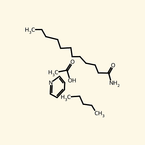 CC(=O)O.CCCCC.CCCCCCCCCCCC(N)=O.c1ccncc1